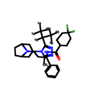 [2H]C([2H])([2H])C([2H])(c1nnc(C)n1C1CC2CCC(C1)N2CCC(NC(=O)C1CCC(F)(F)CC1)c1ccccc1)C([2H])([2H])[2H]